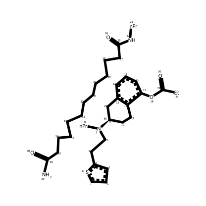 CCCN(CCc1cccs1)[C@@H]1CCc2c(cccc2OC(=O)CC)C1.CCCNC(=O)CCCCCCCCCCCC(N)=O